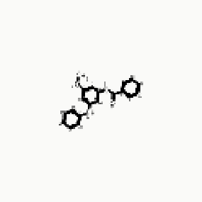 COc1cc(NC(=O)c2ccccc2)cc(Nc2ccccc2)c1